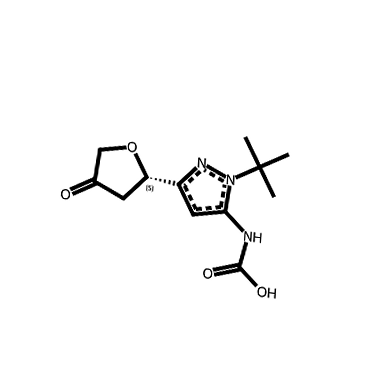 CC(C)(C)n1nc([C@@H]2CC(=O)CO2)cc1NC(=O)O